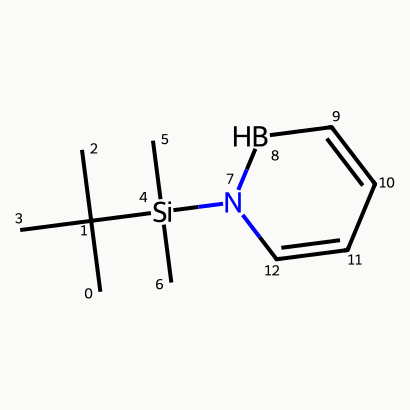 CC(C)(C)[Si](C)(C)N1BC=CC=C1